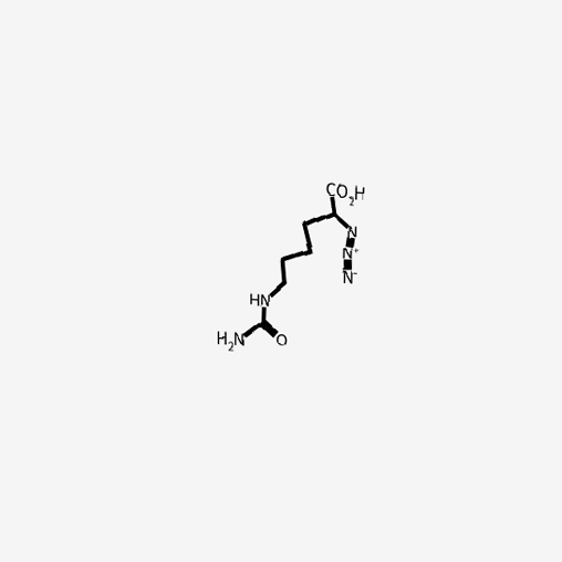 [N-]=[N+]=NC(CCCCNC(N)=O)C(=O)O